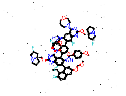 CCc1c(F)ccc2cc(OCOC)cc(-c3c(NCc4ccc(OC)cc4)c(-c4c(O)cc(-c5c(N)cc6c(N7CCCOCC7)nc(OC[C@@]78CCCN7C[C@H](F)C8)nc6c5F)c5c(CC)c(F)ccc45)c4c(N5CCCOCC5)nc(OC[C@@]56CCCN5C[C@H](F)C6)nc4c3F)c12